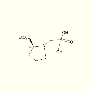 CCOC(=O)[C@@H]1CCCN1CP(=O)(O)O